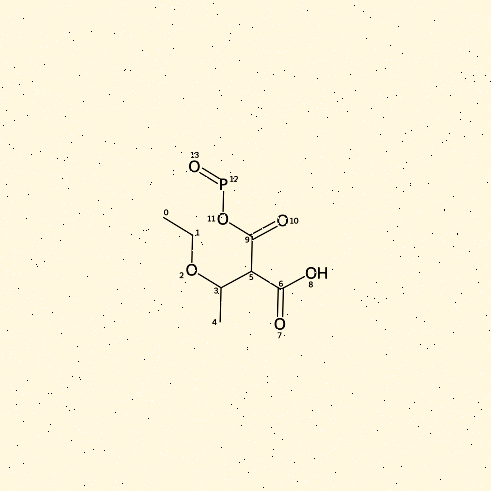 CCOC(C)C(C(=O)O)C(=O)OP=O